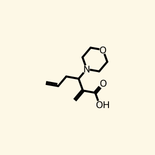 C=CCC(C(=C)C(=O)O)N1CCOCC1